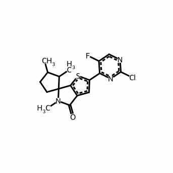 CC1CCC2(c3sc(-c4nc(Cl)ncc4F)cc3C(=O)N2C)C1C